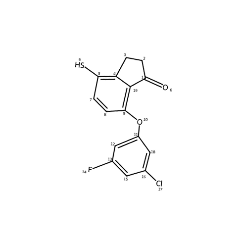 O=C1CCc2c(S)ccc(Oc3cc(F)cc(Cl)c3)c21